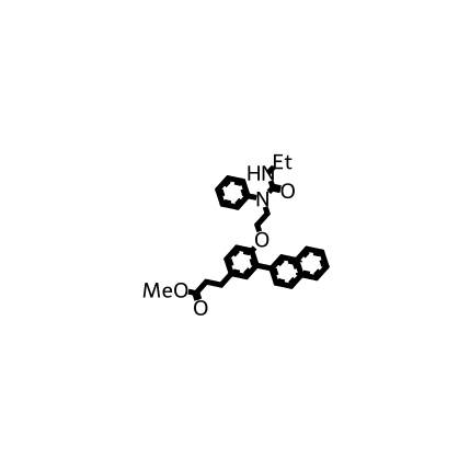 CCNC(=O)N(CCOc1ccc(CCC(=O)OC)cc1-c1ccc2ccccc2c1)c1ccccc1